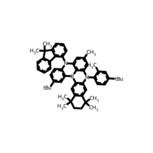 Cc1cc2c3c(c1)N(c1cccc4c1-c1ccccc1C4(C)C)c1ccc(C(C)(C)C)cc1B3c1cc3c(cc1N2c1ccc(C(C)(C)C)cc1C)C(C)(C)CCC3(C)C